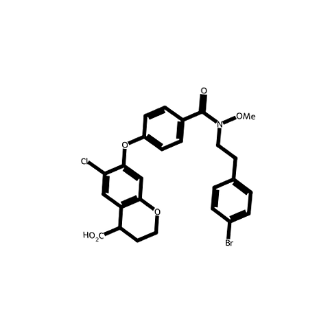 CON(CCc1ccc(Br)cc1)C(=O)c1ccc(Oc2cc3c(cc2Cl)C(C(=O)O)CCO3)cc1